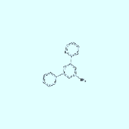 Bc1cc(-c2ccccc2)cc(-c2ccccn2)c1